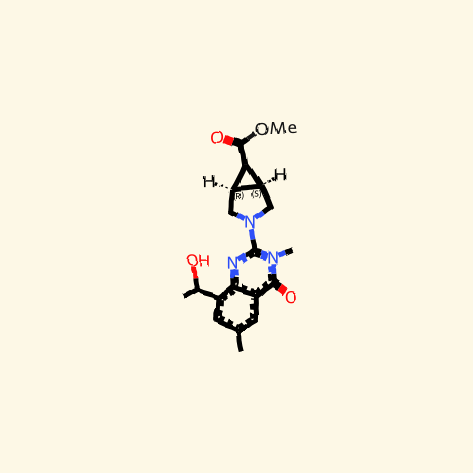 COC(=O)C1[C@H]2CN(c3nc4c(C(C)O)cc(C)cc4c(=O)n3C)C[C@@H]12